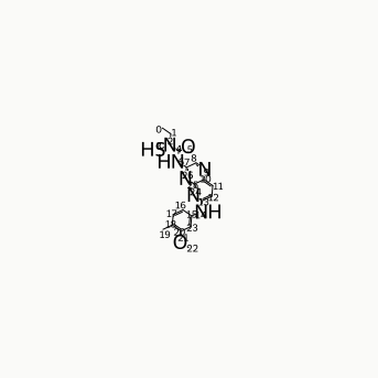 CCN(S)C(=O)Nc1cnc2ccc(Nc3ccc(C)c(OC)c3)nc2n1